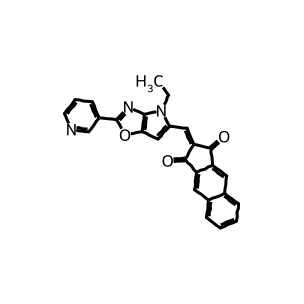 CCn1c(C=C2C(=O)c3cc4ccccc4cc3C2=O)cc2oc(-c3cccnc3)nc21